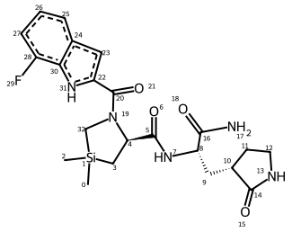 C[Si]1(C)C[C@H](C(=O)N[C@@H](C[C@@H]2CCNC2=O)C(N)=O)N(C(=O)c2cc3cccc(F)c3[nH]2)C1